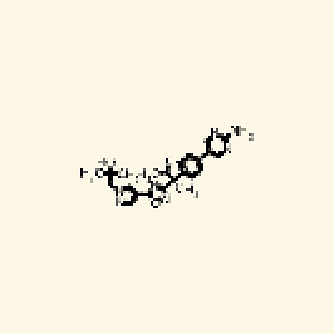 CC(C)[C@@](C)(c1ccc(-c2cnc(N)nc2)cc1)c1noc(-c2cnn(CC(C)(C)O)c2)n1